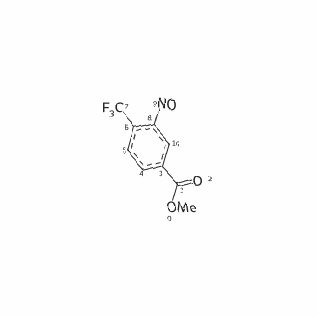 COC(=O)c1ccc(C(F)(F)F)c(N=O)c1